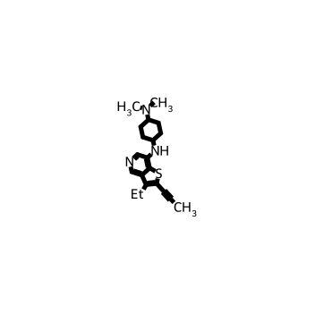 CC#Cc1sc2c(NC3CCC(N(C)C)CC3)cncc2c1CC